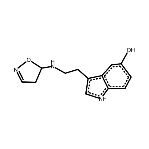 Oc1ccc2[nH]cc(CCNC3CC=NO3)c2c1